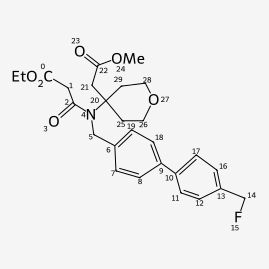 CCOC(=O)CC(=O)N(Cc1ccc(-c2ccc(CF)cc2)cc1)C1(CC(=O)OC)CCOCC1